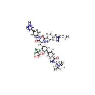 Cc1cc(C(=O)NC2C[C@H]3CC[C@H](C2)N3C)ccc1-c1ccc(C[C@H](NC(=O)C2CCC(CNC(=O)O)CC2)C(=O)Nc2ccc(-c3nn[nH]n3)cc2)cc1.O=C(O)C(F)(F)F